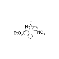 CCOC(=O)C1=C(c2ccccc2)C2c3cc([N+](=O)[O-])ccc3NC2N=C1